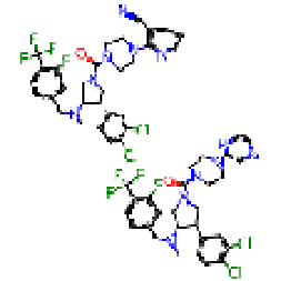 CN(Cc1ccc(C(F)(F)F)c(F)c1)C1CN(C(=O)N2CCN(c3cnccn3)CC2)CC1c1ccc(Cl)c(Cl)c1.CN(Cc1ccc(C(F)(F)F)c(F)c1)[C@H]1CN(C(=O)N2CCN(c3ncccc3C#N)CC2)C[C@@H]1c1ccc(Cl)c(Cl)c1